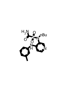 CCCCN(c1cnccc1Nc1cccc(C)c1)S(=O)(=O)C(N)=O